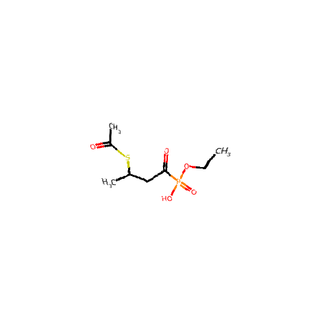 CCOP(=O)(O)C(=O)CC(C)SC(C)=O